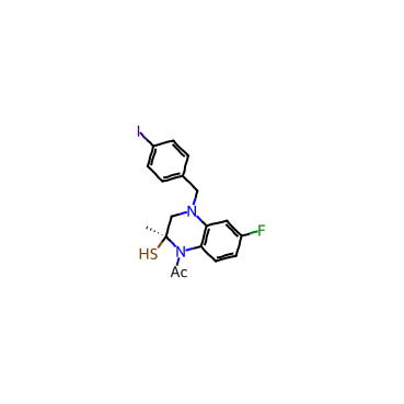 CC(=O)N1c2ccc(F)cc2N(Cc2ccc(I)cc2)C[C@]1(C)S